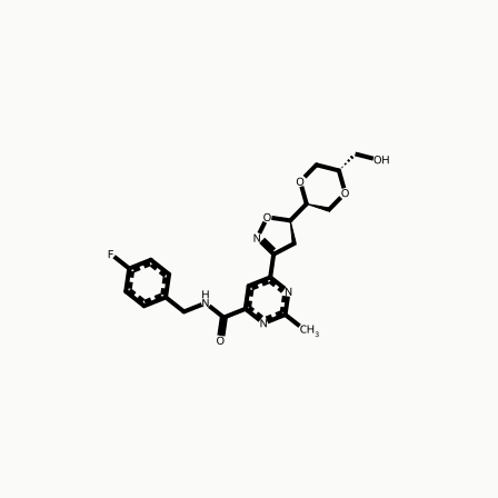 Cc1nc(C(=O)NCc2ccc(F)cc2)cc(C2=NO[C@@H]([C@@H]3CO[C@@H](CO)CO3)C2)n1